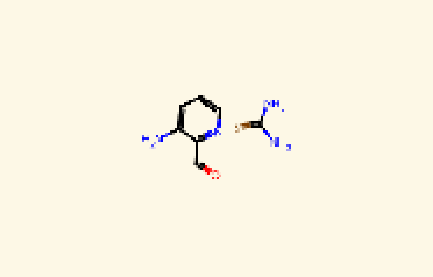 NC(N)=S.Nc1cccnc1C=O